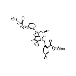 CC#CCn1c(N2CCC[C@@H](NC(=O)OC(C)(C)C)C2)nc2c1c(=O)n(Cc1ccc(Cl)cc1C(=O)OCCCCCCCCC)c(=O)n2C